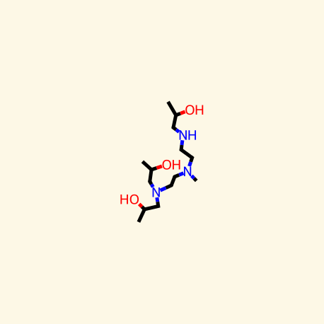 CC(O)CNCCN(C)CCN(CC(C)O)CC(C)O